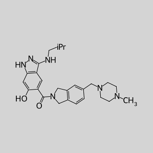 CC(C)CNc1n[nH]c2cc(O)c(C(=O)N3Cc4ccc(CN5CCN(C)CC5)cc4C3)cc12